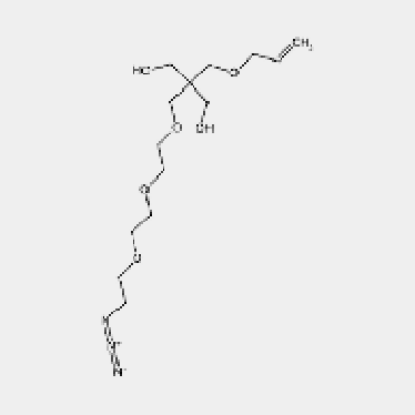 C=CCOCC(CO)(CO)COCCOCCOCCN=[N+]=[N-]